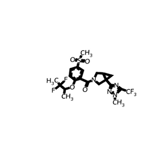 CC(Oc1ccc(S(C)(=O)=O)cc1C(=O)N1CC2CC2(c2nc(C(F)(F)F)n(C)n2)C1)C(C)(F)F